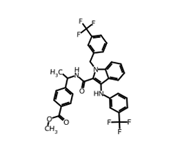 COC(=O)c1ccc(C(C)NC(=O)c2c(Nc3cccc(C(F)(F)F)c3)c3ccccc3n2Cc2cccc(C(F)(F)F)c2)cc1